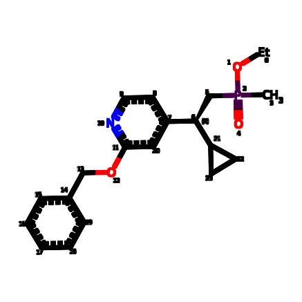 CCOP(C)(=O)C[C@H](c1ccnc(OCc2ccccc2)c1)C1CC1